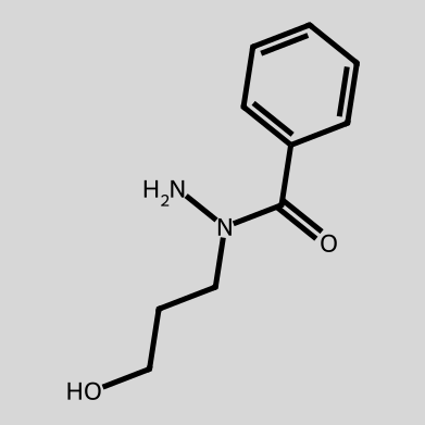 NN(CCCO)C(=O)c1ccccc1